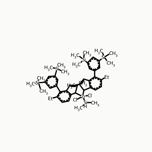 CCc1ccc2c(c1-c1cc([Si](C)(C)C)cc([Si](C)(C)C)c1)C=C(C)[CH]2[Zr]([Cl])([Cl])([CH]1C(C)=Cc2c1ccc(CC)c2-c1cc([Si](C)(C)C)cc([Si](C)(C)C)c1)[SiH](C)C